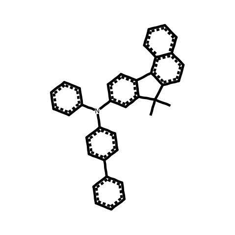 CC1(C)c2cc(N(c3ccccc3)c3ccc(-c4ccccc4)cc3)ccc2-c2c1ccc1ccccc21